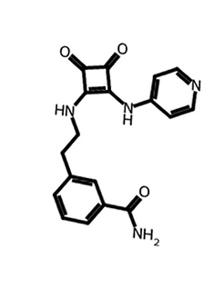 NC(=O)c1cccc(CCNc2c(Nc3ccncc3)c(=O)c2=O)c1